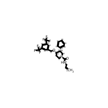 C=CCNC(=O)N1CC[C@H](OCc2cc(C(F)(F)F)cc(C(F)(F)F)c2)[C@H](c2ccccc2)C1